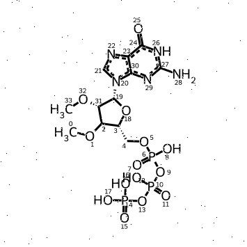 COC1[C@@H](COP(=O)(O)OP(=O)(O)OP(=O)(O)O)O[C@@H](n2cnc3c(=O)[nH]c(N)nc32)[C@H]1OC